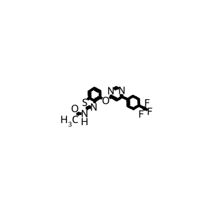 CC(=O)Nc1nc2c(Oc3cc(C4=CCC(C(F)(F)F)CC4)ncn3)cccc2s1